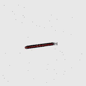 C=C(C)CCCOCCOCCOCCOCCOCCOCCOCCOCCOCCOCCOCCOCCOCCOCCOCCOCCOCCOCCOCCOCCCOCCCOCCCOCCCOCCCOCCCOCCCO